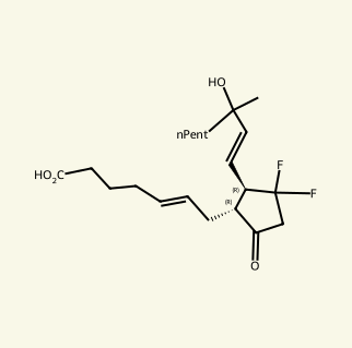 CCCCCC(C)(O)C=C[C@@H]1[C@@H](CC=CCCCC(=O)O)C(=O)CC1(F)F